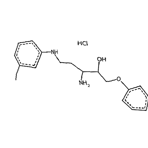 Cc1cccc(NCCC(N)C(O)COc2ccccc2)c1.Cl